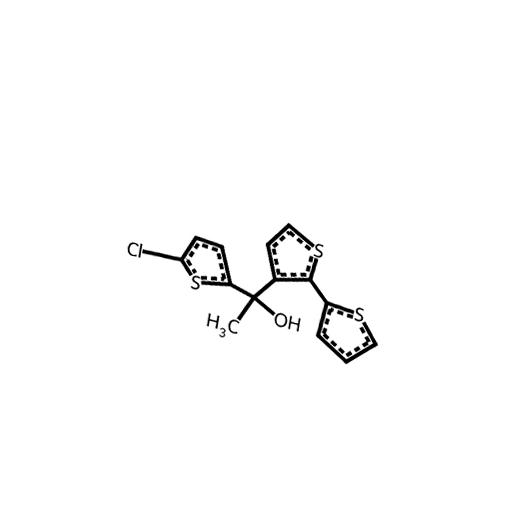 CC(O)(c1ccc(Cl)s1)c1ccsc1-c1cccs1